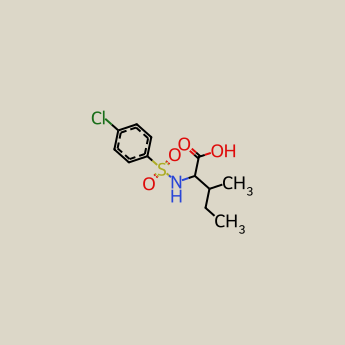 CCC(C)C(NS(=O)(=O)c1ccc(Cl)cc1)C(=O)O